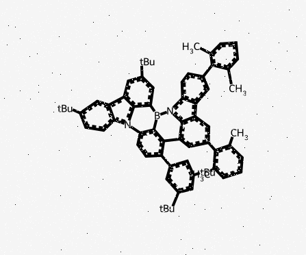 Cc1cccc(C)c1-c1ccc2c(c1)c1cc(-c3c(C)cccc3C)cc3c1n2B1c2c(ccc(-c4cc(C(C)(C)C)cc(C(C)(C)C)c4)c2-3)-n2c3ccc(C(C)(C)C)cc3c3cc(C(C)(C)C)cc1c32